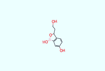 OCCC1OB(O)c2cc(O)ccc21